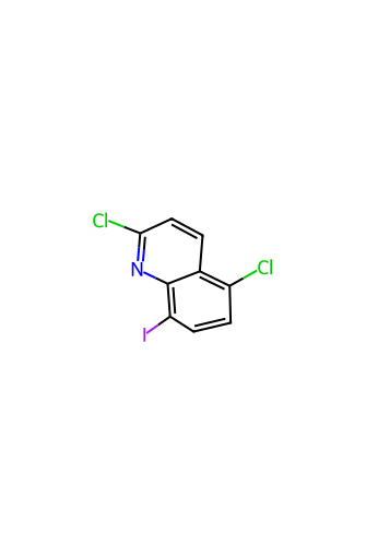 Clc1ccc2c(Cl)ccc(I)c2n1